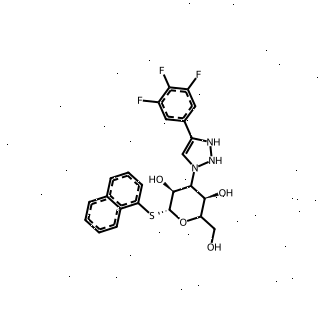 OCC1O[C@H](Sc2cccc3ccccc23)[C@@H](O)C(N2C=C(c3cc(F)c(F)c(F)c3)NN2)[C@H]1O